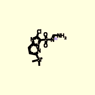 C[Si](C)(C)c1ccc2nc(Cl)c(S(=O)(=O)/N=C/N)n2n1